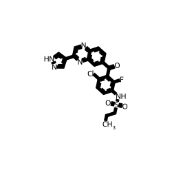 CCCS(=O)(=O)Nc1ccc(Cl)c(C(=O)c2ccc3ncc(-c4cn[nH]c4)nc3c2)c1F